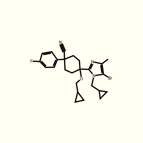 Cc1nc(C2(OCC3CC3)CCC(C#N)(c3ccc(F)cc3)CC2)n(CC2CC2)c1Br